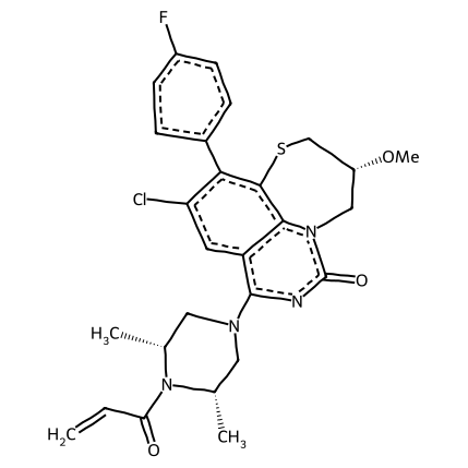 C=CC(=O)N1[C@H](C)CN(c2nc(=O)n3c4c(c(-c5ccc(F)cc5)c(Cl)cc24)SC[C@H](OC)C3)C[C@@H]1C